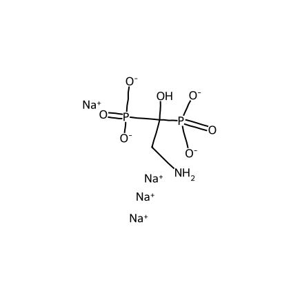 NCC(O)(P(=O)([O-])[O-])P(=O)([O-])[O-].[Na+].[Na+].[Na+].[Na+]